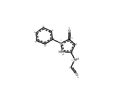 O=CNc1cc(=O)n(-c2ccccc2)[nH]1